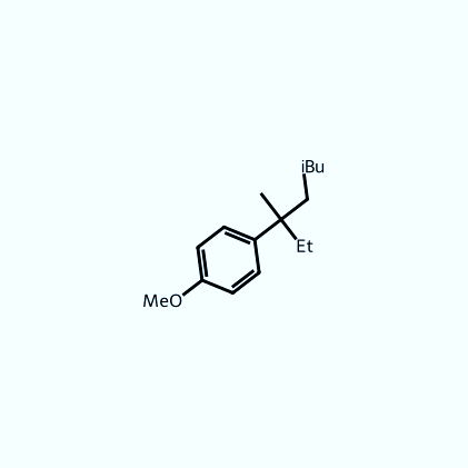 CCC(C)CC(C)(CC)c1ccc(OC)cc1